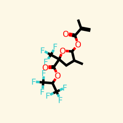 C=C(C)C(=O)OC1OC(C(=O)OC(C(F)(F)F)C(F)(F)F)(C(F)(F)F)CC1C